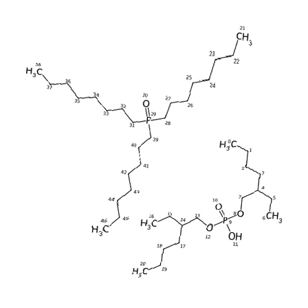 CCCCC(CC)COP(=O)(O)OCC(CC)CCCC.CCCCCCCCP(=O)(CCCCCCCC)CCCCCCCC